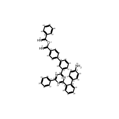 N=C(OC(=N)c1ccc(-c2cccc(-c3nc(-c4ccccc4)nc(-c4ccccc4-c4ccc(N)cc4)n3)c2)cc1)c1ccccc1